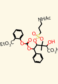 CCOC(=O)c1ccccc1OC(=O)OC(c1ccccc1)C(OS(=O)(=O)CCCNC(C)=O)C(C)(C)[C@@H](O)C(=O)O